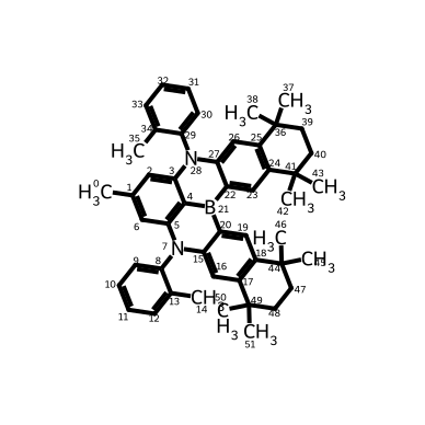 Cc1cc2c3c(c1)N(c1ccccc1C)c1cc4c(cc1B3c1cc3c(cc1N2c1ccccc1C)C(C)(C)CCC3(C)C)C(C)(C)CCC4(C)C